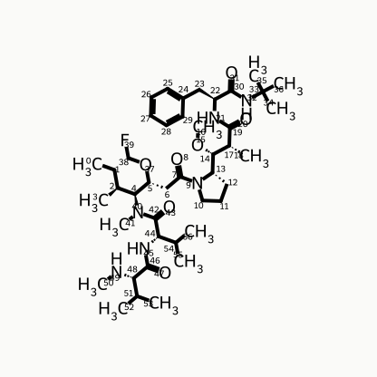 CC[C@H](C)[C@@H]([C@@H](CC(=O)N1CCC[C@H]1[C@H](OC)[C@@H](C)C(=O)N[C@@H](Cc1ccccc1)C(=O)NC(C)(C)C)OCF)N(C)C(=O)[C@@H](NC(=O)[C@@H](NC)C(C)C)C(C)C